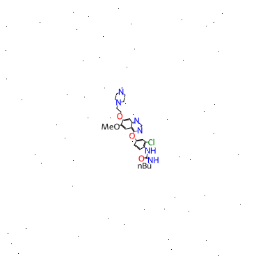 CCCCNC(=O)Nc1ccc(Oc2ncnc3cc(OCCN4CCN(C)CC4)c(OC)cc23)cc1Cl